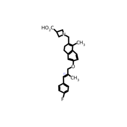 CC1=C(CN2CC(C(=O)O)C2)CCc2cc(OC/C(C)=C/c3ccc(F)cc3)ccc21